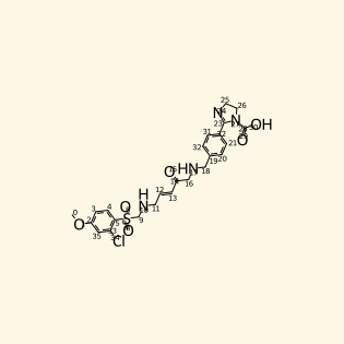 COc1ccc(S(=O)(=O)CNCC=CC(=O)CNCc2ccc(C3=NCCN3C(=O)O)cc2)c(Cl)c1